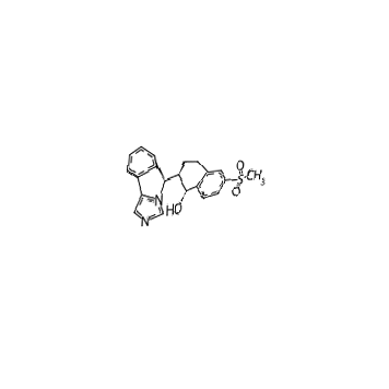 CS(=O)(=O)c1ccc2c(c1)CC[C@H]([C@@H]1c3ccccc3-c3cncn31)[C@@H]2O